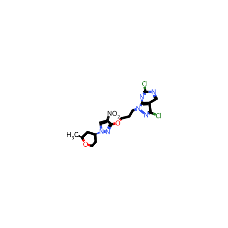 C[C@H]1C[C@@H](n2cc([N+](=O)[O-])c(OCCCn3nc(Cl)c4cnc(Cl)nc43)n2)CCO1